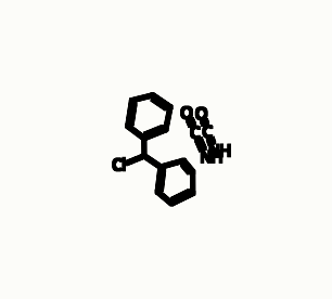 ClC(c1ccccc1)c1ccccc1.N=C=O.N=C=O